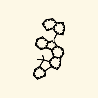 CC1(C)c2ccccc2-c2ccc3ccc4c(c5ccccc5n4-c4cccc5ccccc45)c3c21